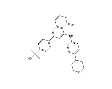 CC(C)(O)c1ccc(-c2cc3c(c(Nc4ccc(N5CCOCC5)cc4)n2)C(=O)[N]C=C3)cc1